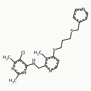 Cc1nc(C)c(Cl)c(NCc2nccc(SCCCSCc3ccncc3)c2C)n1